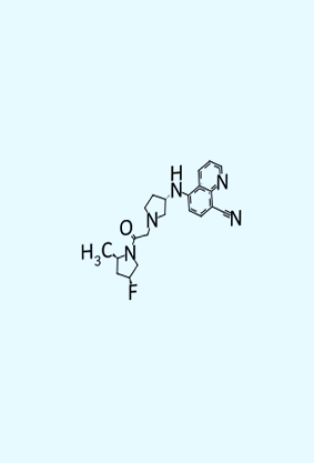 C[C@@H]1C[C@H](F)CN1C(=O)CN1CC[C@H](Nc2ccc(C#N)c3ncccc23)C1